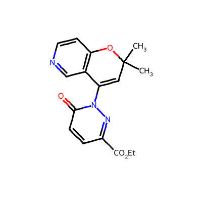 CCOC(=O)c1ccc(=O)n(C2=CC(C)(C)Oc3ccncc32)n1